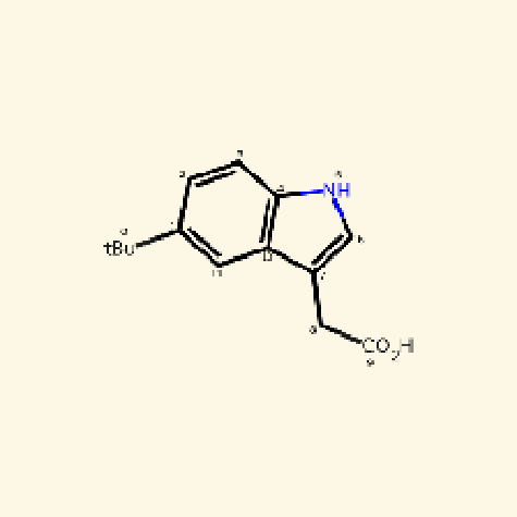 CC(C)(C)c1ccc2[nH]cc(CC(=O)O)c2c1